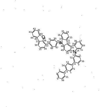 c1ccc(-c2ccc(-c3cccc(-n4c5ccccc5c5c6c7ccccc7n(-c7ccc(-c8cccc9c8oc8ccccc89)cc7)c6ccc54)c3)cc2)cc1